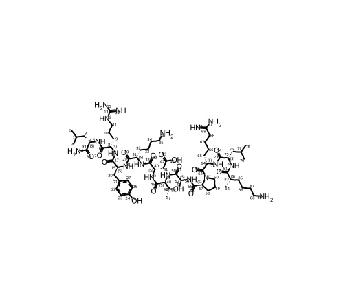 CC(C)C[C@H](NC(=O)[C@H](CCCNC(=N)N)NC(=O)[C@H](Cc1ccc(O)cc1)NC(=O)[C@H](CCCCN)NC(=O)[C@H](CC(=O)O)NC(=O)[C@@H](NC(=O)[C@H](C)NC(=O)[C@@H]1CCCN1C(=O)[C@H](CCCCC(=N)N)NC(=O)[C@H](CC(C)C)NC(=O)[C@@H](C)CCCCN)[C@@H](C)O)C(N)=O